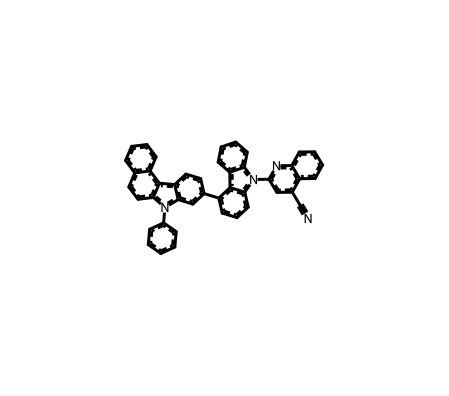 N#Cc1cc(-n2c3ccccc3c3c(-c4ccc5c6c7ccccc7ccc6n(-c6ccccc6)c5c4)cccc32)nc2ccccc12